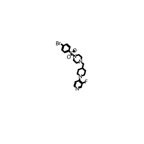 O=S(=O)(c1ccc(Br)cc1)N1CCN(CC2CCN(c3ccncc3F)CC2)CC1